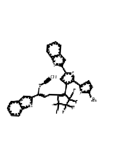 C#CS/C(=C\CC1=C(c2cc(-c3cc4ccccc4s3)sc2-c2ccc(C(C)(C)C)s2)C(F)(F)C(F)(F)C1(F)F)c1cc2ccccc2s1